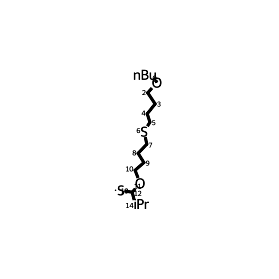 CCCCOCCCCSCCCCOC([S])C(C)C